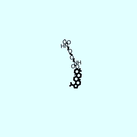 COC(=O)NCCOCCOCCNC(=O)O[C@@H]1CC[C@@]2(C)C3CCC4C5C(CCC5C(C)C)CCC4(C)C3CCC2C1(C)C